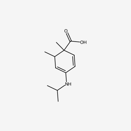 CC(C)NC1=CC(C)C(C)(C(=O)O)C=C1